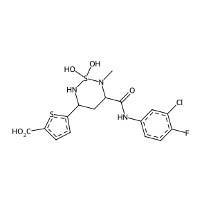 CN1C(C(=O)Nc2ccc(F)c(Cl)c2)CC(c2ccc(C(=O)O)s2)NS1(O)O